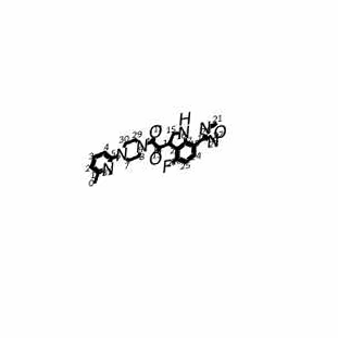 Cc1cccc(N2CCN(C(=O)C(=O)C3CNc4c(-c5ncon5)ccc(F)c43)CC2)n1